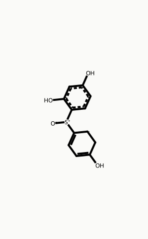 [O-][S+](C1=CC=C(O)C[CH]1)c1ccc(O)cc1O